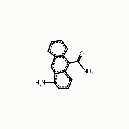 NC(=O)c1c2ccccc2cc2c(N)cccc12